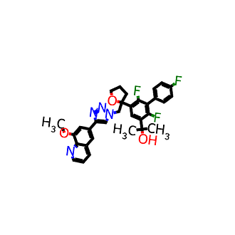 COc1cc(-c2cn(CC3(c4cc(C(C)(C)O)c(F)c(-c5ccc(F)cc5)c4F)CCCO3)nn2)cc2cccnc12